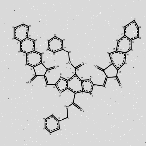 O=C1C(=Cc2nc3c(C(=O)OCc4ccccc4)c4sc(C=C5C(=O)c6cc7cc8ccccc8cc7cc6C5=O)nc4c(C(=O)OCc4ccccc4)c3s2)C(=O)c2cc3cc4ccccc4cc3cc21